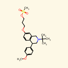 COc1ccc(C2CN(C(C)(C)C)Cc3cc(OCCCOS(C)(=O)=O)ccc32)cc1